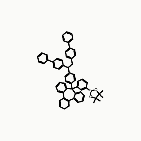 CC1(C)OB(c2cccc(C3(c4ccc(C(Cc5ccc(-c6ccccc6)cc5)c5ccc(-c6ccccc6)cc5)cc4)c4ccccc4C4=C(CCC=C4)c4ccccc43)c2)OC1(C)C